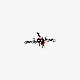 C[C@H]1CN(C(=O)OCCCCl)[C@@H]2Cc3ccc(OC(=O)OCCCCl)c4c3[C@]13[C@@H](O4)C(=O)CC[C@@]23OC(=O)OCCCCl